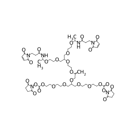 C=C(COC(COCCOCCOC(=O)ON1C(=O)CCC1=O)COCCOCCOC(=O)ON1C(=O)CCC1=O)OCCOC(COCCOC(C)NC(=O)CCN1C(=O)C=CC1=O)COCCOC(C)NC(=O)CCN1C(=O)C=CC1=O